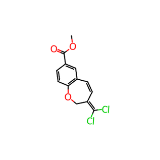 COC(=O)c1ccc2c(c1)C=CC(=C(Cl)Cl)CO2